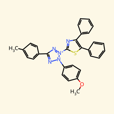 COc1ccc(-n2nc(-c3ccc(C)cc3)n[n+]2-c2nc(-c3ccccc3)c(-c3ccccc3)s2)cc1